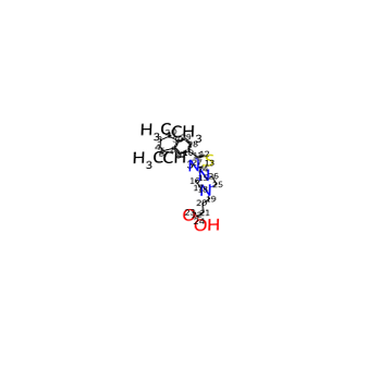 CC1(C)CCC(C)(C)c2cc(-c3csc(N4CCN(CCCC(=O)O)CC4)n3)ccc21